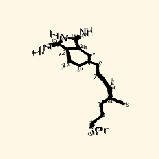 CC(C)CCCC(C)CCCC1CCC2C(=N)NC(=N)C2C1